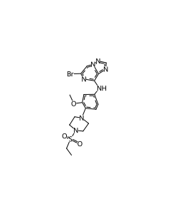 CCS(=O)(=O)N1CCN(c2ccc(Nc3nc(Br)cn4ncnc34)cc2OC)CC1